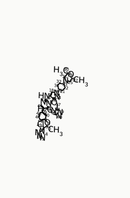 CC(Cn1cnnn1)Oc1cc(-c2cnc(Nc3cn(C4CCC(N5C[C@@H](C)O[C@@H](C)C5)CC4)nc3OCc3nncn3C)nc2)ccc1Cl